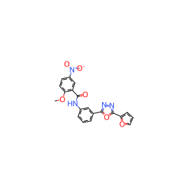 COc1ccc([N+](=O)[O-])cc1C(=O)Nc1cccc(-c2nnc(-c3ccco3)o2)c1